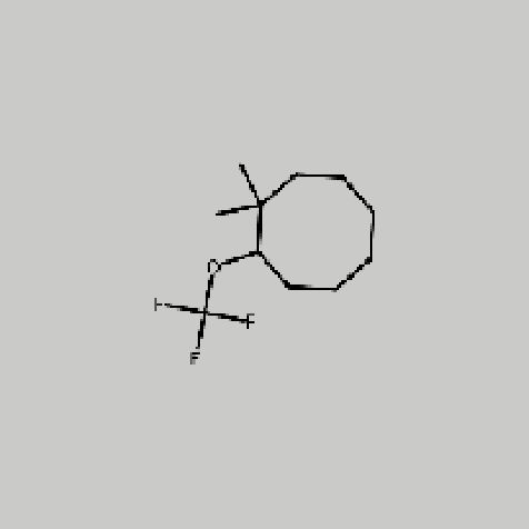 CC1(C)CCCCCCC1OC(F)(F)F